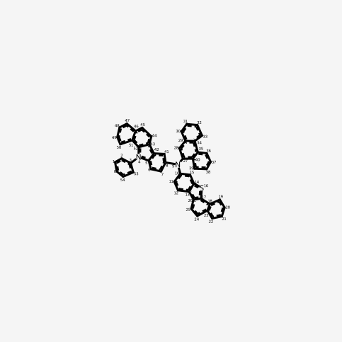 c1ccc(-n2c3ccc(N(c4ccc5c(c4)sc4c6ccccc6ccc54)c4cc5ccccc5c5ccccc45)cc3c3ccc4ccccc4c32)cc1